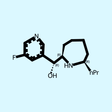 CCC[C@@H]1CCCC[C@H]([C@H](O)c2cncc(F)c2)N1